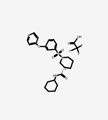 O=C(NC1CCCCC1)[C@H]1CCCN(S(=O)(=O)c2cccc(Oc3ccncc3)c2)C1.O=C(O)C(F)(F)F